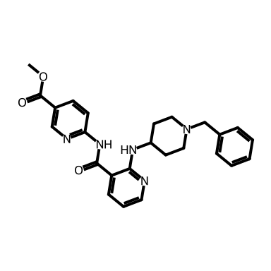 COC(=O)c1ccc(NC(=O)c2cccnc2NC2CCN(Cc3ccccc3)CC2)nc1